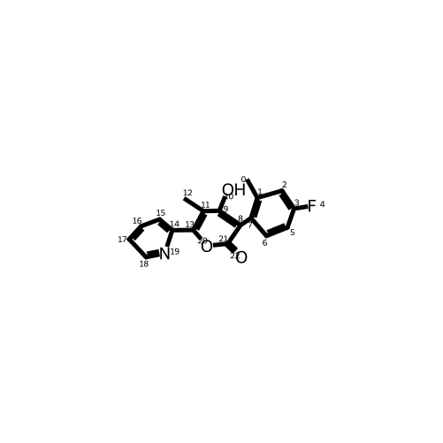 Cc1cc(F)ccc1-c1c(O)c(C)c(-c2ccccn2)oc1=O